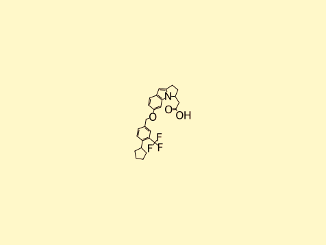 O=C(O)CC1CCc2cc3ccc(OCc4ccc(C5CCCC5)c(C(F)(F)F)c4)cc3n21